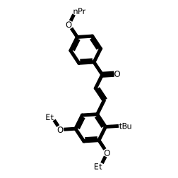 CCCOc1ccc(C(=O)C=Cc2cc(OCC)cc(OCC)c2C(C)(C)C)cc1